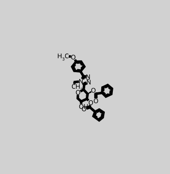 CCn1c(-c2ccc(OC)cc2)nnc1C1OCC(O)C(OC(=O)c2ccccc2)[C@@H]1OC(=O)c1ccccc1